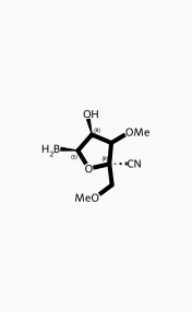 B[C@@H]1O[C@](C#N)(COC)C(OC)[C@@H]1O